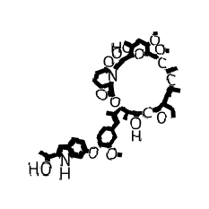 CCC1/C=C(\C)CC(C)CC(OC)C2OC(O)(C(=O)C(=O)N3CCCCC3C(=O)OC(C(C)=CC3CCC(Oc4ccc5cc(C(C)O)[nH]c5c4)C(OC)C3)C(C)C(O)CC1=O)C(C)CC2OC